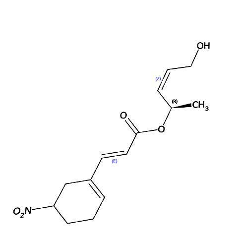 C[C@H](/C=C\CO)OC(=O)/C=C/C1=CCCC([N+](=O)[O-])C1